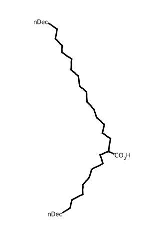 CCCCCCCCCCCCCCCCCCCCCCCCCC(CCCCCCCCCCCCCCCCCC)C(=O)O